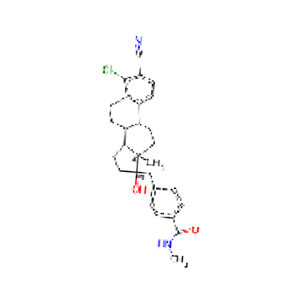 CNC(=O)c1ccc(C[C@]2(O)CCC3C4CCc5c(ccc(C#N)c5Cl)C4CC[C@@]32C)cc1